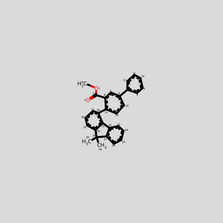 COC(=O)c1cc(-c2ccccc2)ccc1-c1cccc2c1-c1ccccc1C2(C)C